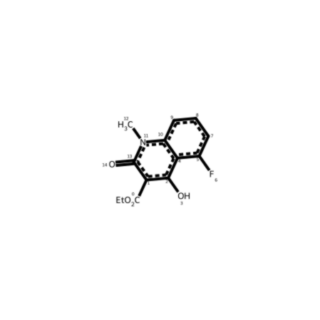 CCOC(=O)c1c(O)c2c(F)cccc2n(C)c1=O